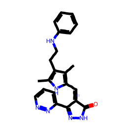 Cc1[nH]c(/C=C2/C(=O)NN=C2c2cccnn2)c(C)c1CCNc1ccccc1